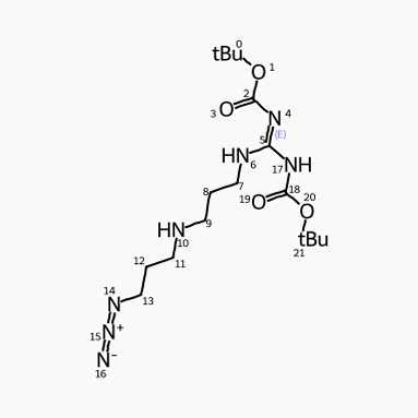 CC(C)(C)OC(=O)/N=C(\NCCCNCCCN=[N+]=[N-])NC(=O)OC(C)(C)C